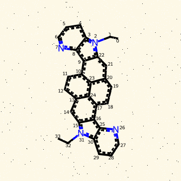 CCn1c2cccnc2c2c3ccc4cc5c(c6ccc(cc21)c3c46)c1ncccc1n5CC